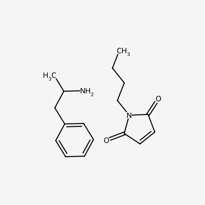 CC(N)Cc1ccccc1.CCCCN1C(=O)C=CC1=O